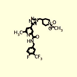 Cc1cc(-c2nnn(CC3CCN(S(C)(=O)=O)CC3)n2)cc(C(=O)NCc2ccc(F)c(C(F)(F)F)c2)n1